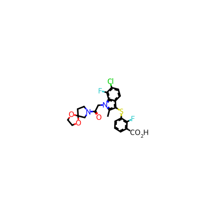 Cc1c(Sc2cccc(C(=O)O)c2F)c2ccc(Cl)c(F)c2n1CC(=O)N1CCC2(C1)OCCO2